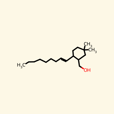 CCCCCCCC=CC1CCC(C)(C)CC1CO